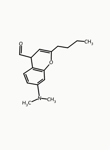 CCCCC1=CC(C=O)c2ccc(N(C)C)cc2O1